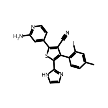 Cc1ccc(-c2c(-c3ncc[nH]3)sc(-c3ccnc(N)c3)c2C#N)c(I)c1